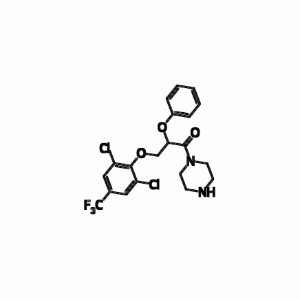 O=C(C(COc1c(Cl)cc(C(F)(F)F)cc1Cl)Oc1ccccc1)N1CCNCC1